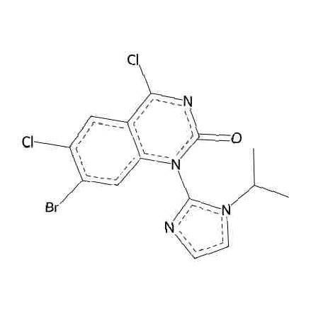 CC(C)n1ccnc1-n1c(=O)nc(Cl)c2cc(Cl)c(Br)cc21